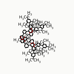 CC(C)c1cc(C(C)C)c(-c2ccc3c(c2)c2cc(-c4c(C(C)C)cc(C(C)C)cc4C(C)C)ccc2n3-c2ccc3c(c2)N(c2c(-c4ccccc4)cccc2-c2ccccc2)c2cc(C(C)(C)C)cc4c2B3c2ccc(-n3c5ccc(-c6c(C(C)C)cc(C(C)C)cc6C(C)C)cc5c5cc(-c6c(C(C)C)cc(C(C)C)cc6C(C)C)ccc53)cc2N4c2c(-c3ccccc3)cccc2-c2ccccc2)c(C(C)C)c1